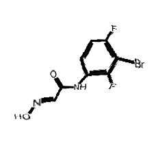 O=C(C=NO)Nc1ccc(F)c(Br)c1F